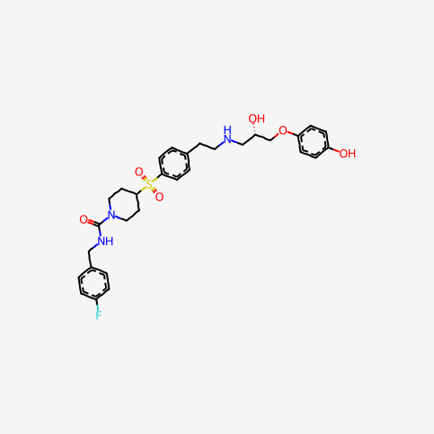 O=C(NCc1ccc(F)cc1)N1CCC(S(=O)(=O)c2ccc(CCNC[C@H](O)COc3ccc(O)cc3)cc2)CC1